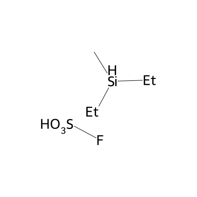 CC[SiH](C)CC.O=S(=O)(O)F